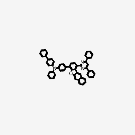 c1ccc(-c2ccc(N(c3ccccc3)c3ccc(-c4ccc(-c5nc(-c6ccccc6)cc(-c6ccccc6)n5)c5c4oc4cc6ccccc6cc45)cc3)cc2)cc1